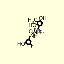 CC/C(=N\NC(=O)NCc1cc(O)cc(F)c1)c1ccc(O)c(C)c1O